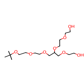 CC(C)(C)OCCOCCOCC(COCCO)OCCOCCO